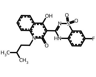 CC(C)CCn1c(=O)c(C2=NS(=O)(=O)c3cc(F)ccc3N2)c(O)c2ccccc21